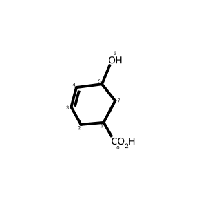 O=C(O)C1CC=CC(O)C1